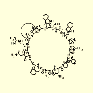 CC(C)C[C@@H]1NC(=O)[C@H](Cc2cnc[nH]2)NC(=O)[C@@H]2CCCN2C(=O)[C@H](CC(N)=O)NC(=O)[C@H](C)N(C)C(=O)[C@H](Cc2ccccc2)NC(=O)CSC[C@@H](C(=O)NCC(N)=O)NC(=O)[C@H](CCCNC(=N)N)NC(=O)C2CCCCCCCCCCCC[C@@H](C(=O)N2C)N(C)C(=O)[C@H](Cc2c[nH]c3ccccc23)NC(=O)[C@H](CO)NC(=O)[C@H](Cc2c[nH]c3ccccc23)NC(=O)CN(C)C1=O